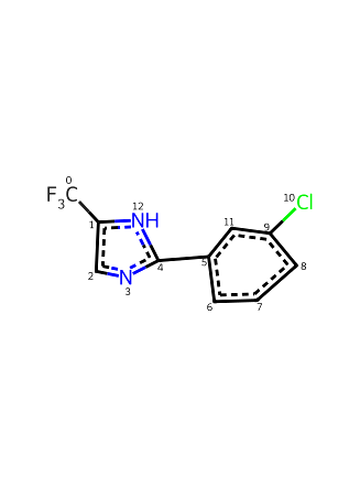 FC(F)(F)c1cnc(-c2cccc(Cl)c2)[nH]1